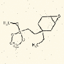 CCC1(CC[Si](OC)(OC)OC)CCC2OC2C1